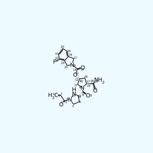 C=CC(=O)N1CC[C@@H](C(=O)N2C[C@H](OC(=O)N3Cc4cccc(F)c4C3)C[C@H]2C(N)=O)N1